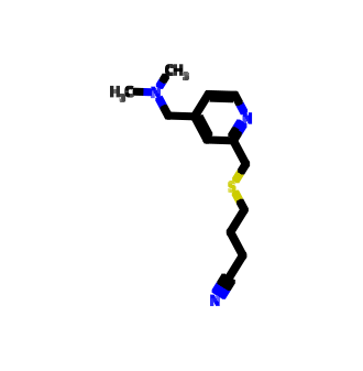 CN(C)Cc1ccnc(CSCCCC#N)c1